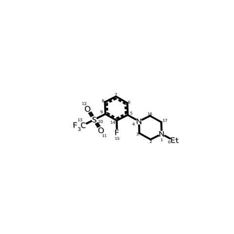 CCN1CCN(c2cccc(S(=O)(=O)C(F)(F)F)c2F)CC1